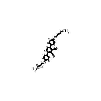 CCCCCOc1ccc(-c2ccc(-c3ccc(OCCCC)cc3)c(C#N)c2C#N)cc1